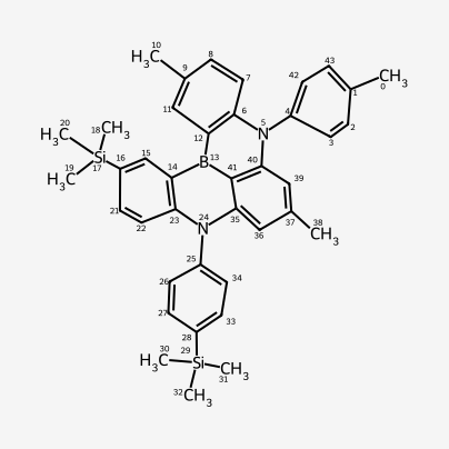 Cc1ccc(N2c3ccc(C)cc3B3c4cc([Si](C)(C)C)ccc4N(c4ccc([Si](C)(C)C)cc4)c4cc(C)cc2c43)cc1